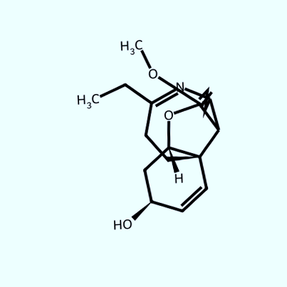 CCC1=NC2=CC=C(OC)C3O[C@H]4C[C@H](O)C=C[C@@]4(CC1)C23